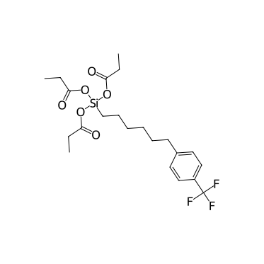 CCC(=O)O[Si](CCCCCCc1ccc(C(F)(F)F)cc1)(OC(=O)CC)OC(=O)CC